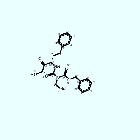 CCC(C)CN(C(=O)N[C@@H](CCc1ccccc1)C(=O)CO)C(=O)OCc1ccccc1